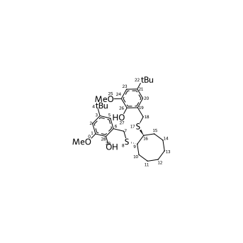 COc1cc(C(C)(C)C)cc(CS[C@H]2CCCCCC[C@@H]2SCc2cc(C(C)(C)C)cc(OC)c2O)c1O